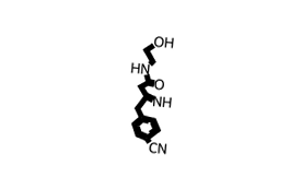 N#Cc1ccc(CC(=N)CC(=O)NCCO)cc1